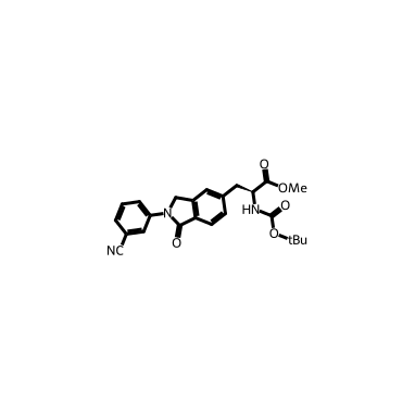 COC(=O)[C@H](Cc1ccc2c(c1)CN(c1cccc(C#N)c1)C2=O)NC(=O)OC(C)(C)C